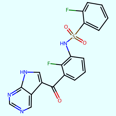 O=C(c1cccc(NS(=O)(=O)c2ccccc2F)c1F)c1c[nH]c2ncncc12